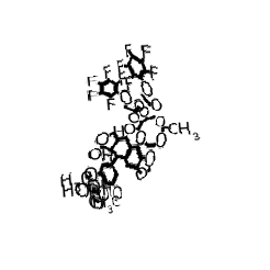 COc1cc(C2c3cc4c(cc3[C@@H](OC3OCCOC(C)OCC(OC(=O)COc5c(F)c(F)c(F)c(F)c5F)C3OC(=O)COc3c(F)c(F)c(F)c(F)c3F)[C@H]3COC(=O)[C@H]23)OCO4)cc(OC)c1OP(=O)(O)O